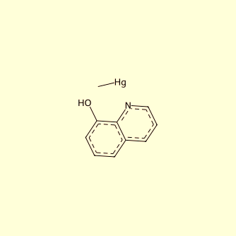 Oc1cccc2cccnc12.[CH3][Hg]